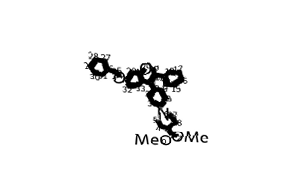 COC(OC)C1CCN(c2ccc(C3=C(c4ccccc4)COc4cc(OCc5ccccc5)ccc43)cc2)CC1